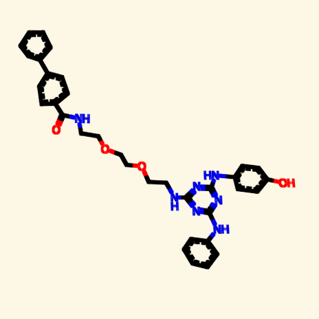 O=C(NCCOCCOCCNc1nc(Nc2ccccc2)nc(Nc2ccc(O)cc2)n1)c1ccc(-c2ccccc2)cc1